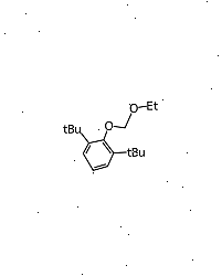 CCOCOc1c(C(C)(C)C)c[c]cc1C(C)(C)C